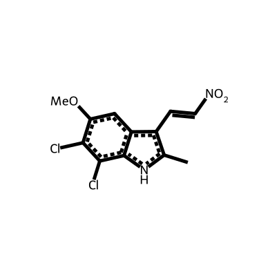 COc1cc2c(/C=C/[N+](=O)[O-])c(C)[nH]c2c(Cl)c1Cl